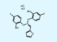 CC(C)(C)c1cc(F)ccc1[O][Ti](=[CH]c1ccco1)[O]c1ccc(F)cc1C(C)(C)C.Cl.Cl